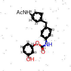 CC(=O)Nc1ccc(Cc2ccc(NC(=O)Oc3cccc(O)c3)cc2)cc1